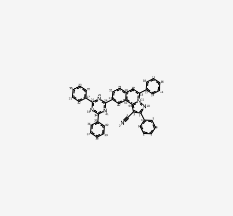 N#Cc1c(-c2ccccc2)nn2c(-c3ccccc3)cc3ccc(-c4nc(-c5ccccc5)nc(-c5ccccc5)n4)cc3c12